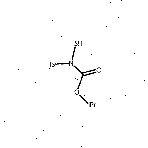 CC(C)OC(=O)N(S)S